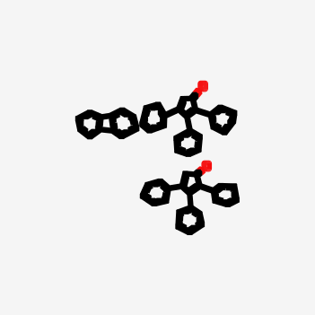 O=C1C=C(c2ccccc2)C(c2ccccc2)=C1c1ccccc1.O=C1C=C(c2ccccc2)C(c2ccccc2)=C1c1ccccc1.c1ccc2c(c1)-c1ccccc1-2